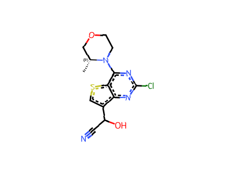 C[C@@H]1COCCN1c1nc(Cl)nc2c(C(O)C#N)csc12